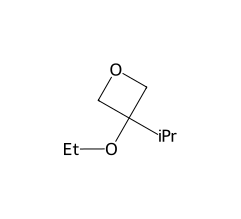 CCOC1(C(C)C)COC1